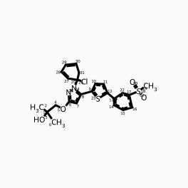 CC(C)(O)COc1cc(-c2ccc(-c3cccc(S(C)(=O)=O)c3)s2)n(C2(Cl)C=CC=CC2)n1